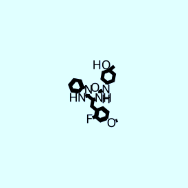 COc1ccc(CC(NC(=O)NC2CCC(C)(O)CC2)c2nc3ccccc3[nH]2)c(F)c1